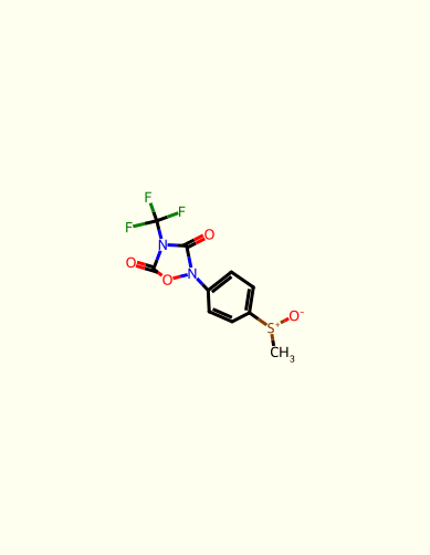 C[S+]([O-])c1ccc(-n2oc(=O)n(C(F)(F)F)c2=O)cc1